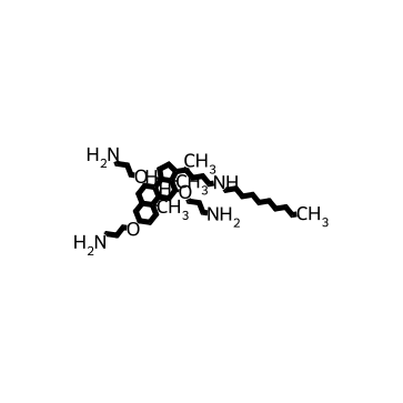 CCCCCCCCCCNCCCC(C)C1CC[C@H]2C3[C@H](OCCCN)CC4C[C@H](OCCCN)CC[C@]4(C)[C@H]3C[C@H](OCCCN)[C@]12C